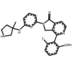 COc1cccc(F)c1-c1nccc2c1CN(c1cccc(NC3(C)CCNC3)n1)C2=O